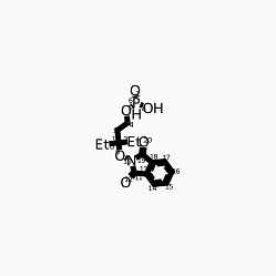 CCC(CC)(CCO[PH](=O)O)ON1C(=O)c2ccccc2C1=O